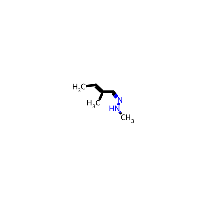 C/C=C(C)/C=N\NC